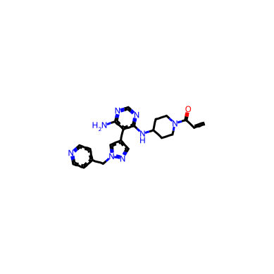 C=CC(=O)N1CCC(Nc2ncnc(N)c2-c2cnn(Cc3ccncc3)c2)CC1